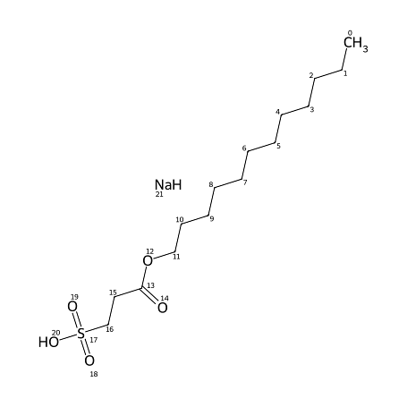 CCCCCCCCCCCCOC(=O)CCS(=O)(=O)O.[NaH]